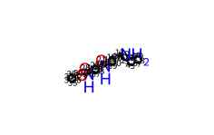 N[C@]1(Cc2ccc3ccccc3c2)C[C@H]1c1ccc(NC(=O)c2ccc(NC(=O)OCc3ccccc3)cc2)cc1